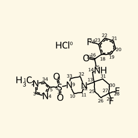 Cl.Cn1cnc(S(=O)(=O)N2CCN(C3(CNC(=O)c4ccccc4F)CCC(F)(F)CC3)CC2)c1